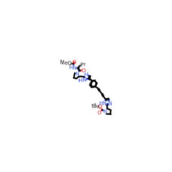 COC(=O)NC(C(=O)N1CCCC1c1ncc(-c2ccc(C#CC#Cc3cnc(C4CCCN4C(=O)OC(C)(C)C)[nH]3)cc2)[nH]1)C(C)C